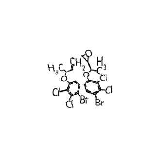 C=CC(C)Oc1ccc(Br)c(Cl)c1Cl.CC(Oc1ccc(Br)c(Cl)c1Cl)C1CO1